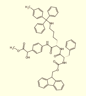 COC(=O)C(O)c1ccc(NC(=O)[C@H](CCCCNC(c2ccccc2)(c2ccccc2)c2ccc(C)cc2)NC(=O)[C@H](Cc2ccccc2)NC(=O)OCC2c3ccccc3-c3ccccc32)cc1